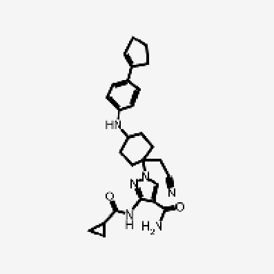 N#CCC1(n2cc(C(N)=O)c(NC(=O)C3CC3)n2)CCC(Nc2ccc(C3=CCCC3)cc2)CC1